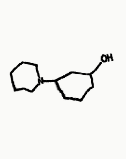 OC1CCCC(N2CCCCC2)C1